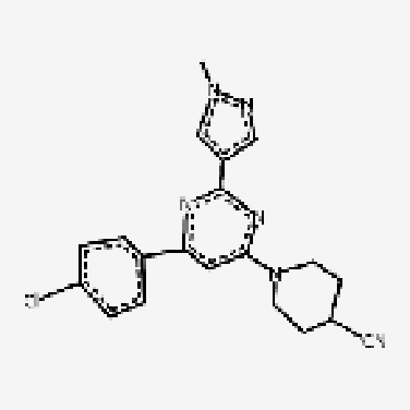 Cn1cc(-c2nc(-c3ccc(Cl)cc3)cc(N3CCC(C#N)CC3)n2)cn1